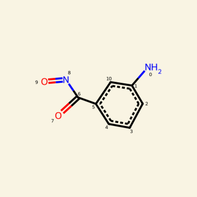 Nc1cccc(C(=O)N=O)c1